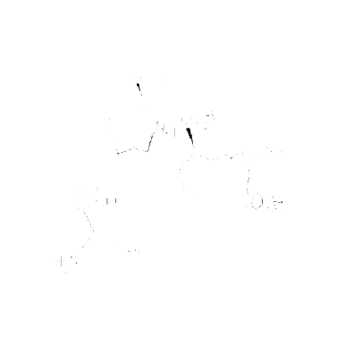 CC(C)C[C@H](N)C(=O)O.CC(C)[C@H](N)C(=O)O.NCC(=O)O.O=C(O)[C@@H]1C[C@@H](O)CN1